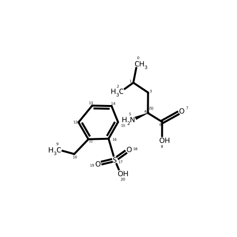 CC(C)C[C@H](N)C(=O)O.CCc1ccccc1S(=O)(=O)O